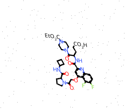 CCOC(=O)N1CCN(C(=O)C(CCC(=O)O)NC(=O)c2cc(OCC(=O)N3CCCC3C(=O)NC3CCC3)c3c(F)c(F)ccc3n2)CC1